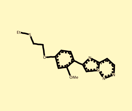 CCSCCOc1ccc(-c2cn3nnccc3n2)c(OC)c1